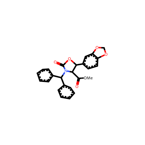 COC(=O)C1C(c2ccc3c(c2)OCO3)OC(=O)N1C(c1ccccc1)c1ccccc1